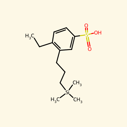 CCc1ccc(S(=O)(=O)O)cc1CCC[Si](C)(C)C